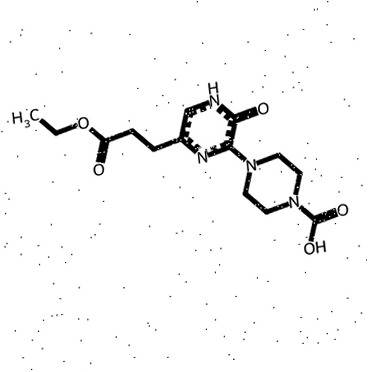 CCOC(=O)CCc1c[nH]c(=O)c(N2CCN(C(=O)O)CC2)n1